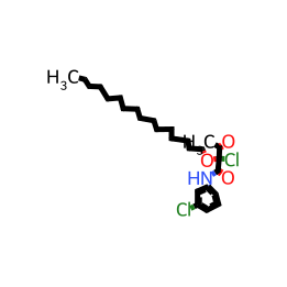 CCCCCCCCCCCCCCCCOC(Cl)(C(C)=O)C(=O)Nc1cccc(Cl)c1